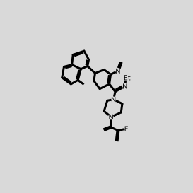 C=NC1=C(/C(=N\CC)N2CCN(C(=C)C(=C)F)CC2)CCC(c2cccc3cccc(C)c23)C1